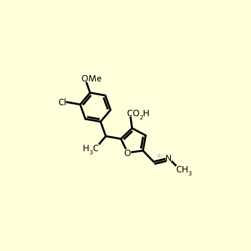 C/N=C/c1cc(C(=O)O)c(C(C)c2ccc(OC)c(Cl)c2)o1